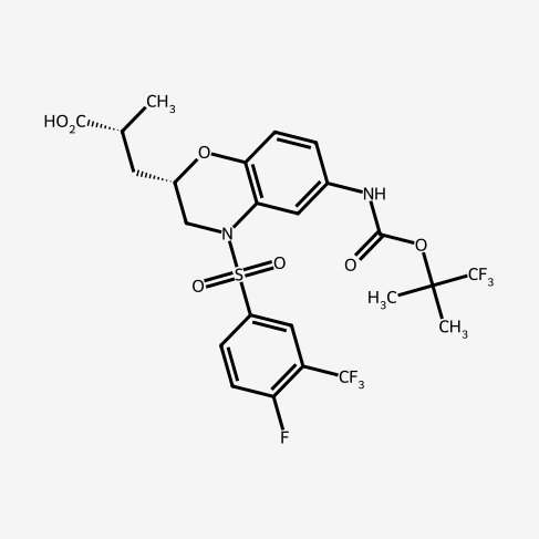 C[C@H](C[C@H]1CN(S(=O)(=O)c2ccc(F)c(C(F)(F)F)c2)c2cc(NC(=O)OC(C)(C)C(F)(F)F)ccc2O1)C(=O)O